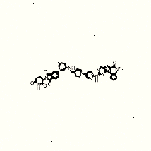 CN(C)C(=O)c1cc2cnc(Nc3ccc(N4CCC(CN[C@H]5CCCN(c6ccc7c(c6)C(=O)N(C6CCC(=O)NC6=O)C7=O)C5)CC4)cn3)nc2n1C1CCCC1